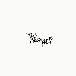 CCCCOC(=O)c1cccc2c1OB(O)[C@@H](NC(=O)CC1=NN(CCN(C)C)NN1)C2